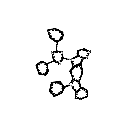 c1ccc(-c2nc(-c3ccccc3)nc(-n3c4cc5c(cc4c4nnccc43)c3ccccc3n5-c3ccccc3)n2)cc1